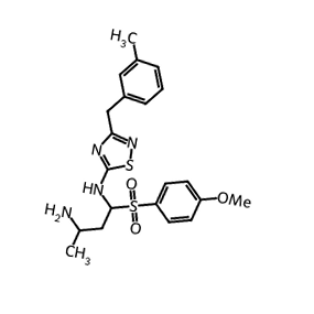 COc1ccc(S(=O)(=O)C(CC(C)N)Nc2nc(Cc3cccc(C)c3)ns2)cc1